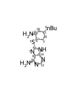 CCCCc1ccc(Sc2nc3c(N)ncnc3[nH]2)c(N)c1